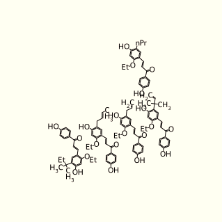 C=CC(C)(C)c1cc(C=CC(=O)c2ccc(O)cc2)c(OCC)cc1O.C=CCc1cc(C=CC(=O)c2ccc(O)cc2)c(OCC)cc1O.CC=CCc1cc(C=CC(=O)c2ccc(O)cc2)c(OCC)cc1O.CCCc1cc(C=CC(=O)c2ccc(O)cc2)c(OCC)cc1O.CCOc1cc(O)c(C(C)(C)CC)cc1C=CC(=O)c1ccc(O)cc1